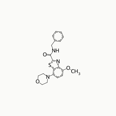 COc1ccc(N2CCOCC2)c2sc(C(=O)NCc3ccccc3)nc12